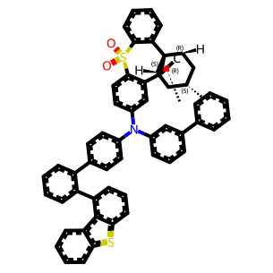 C[C@H]1C[C@@H]2C[C@@H](C)C34C[C@H](C1)C23c1ccccc1S(=O)(=O)c1ccc(N(c2ccc(-c3ccccc3-c3cccc5sc6ccccc6c35)cc2)c2cccc(-c3ccccc3)c2)cc14